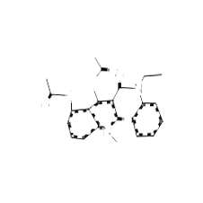 CCN(C(=O)c1c(OC(C)=O)c2c(OC(C)=O)cccc2n(C)c1=O)c1ccccc1